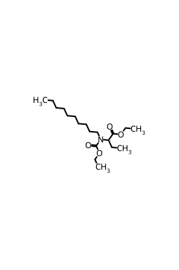 CCCCCCCCCCN(C(=O)OCC)C(CC)C(=O)OCC